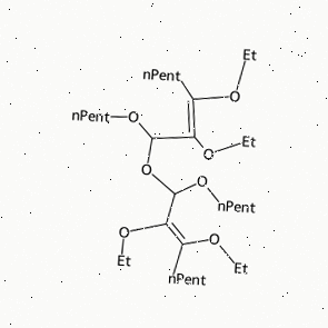 CCCCCOC(OC(OCCCCC)C(OCC)=C(CCCCC)OCC)C(OCC)=C(CCCCC)OCC